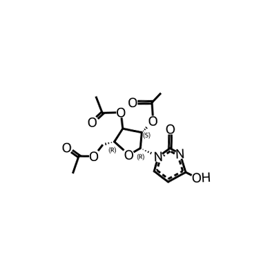 CC(=O)OC[C@H]1O[C@@H](n2ccc(O)nc2=O)[C@@H](OC(C)=O)C1OC(C)=O